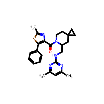 Cc1cc(C)nc(NCC2CC3(CCN2C(=O)c2nc(C)sc2-c2ccccc2)CC3)n1